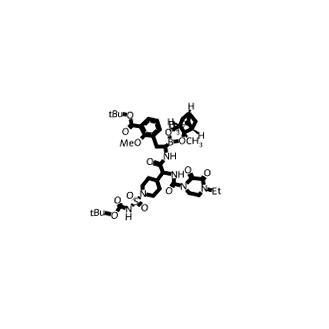 CCN1CCN(C(=O)NC(C(=O)NC(Cc2cccc(C(=O)OC(C)(C)C)c2OC)B2O[C@@H]3C[C@@H]4C[C@@H](C4(C)C)[C@]3(C)O2)C2CCN(S(=O)(=O)NC(=O)OC(C)(C)C)CC2)C(=O)C1=O